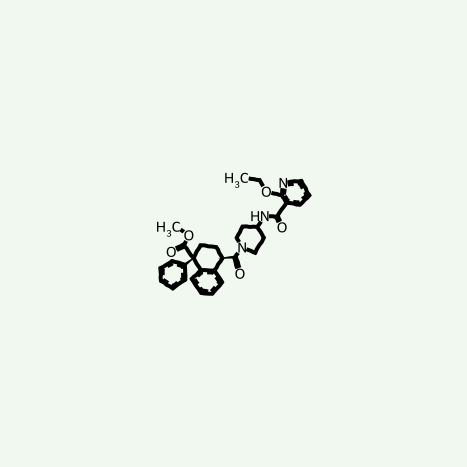 CCOc1ncccc1C(=O)NC1CCN(C(=O)[C@@H]2CC[C@](C(=O)OC)(c3ccccc3)c3ccccc32)CC1